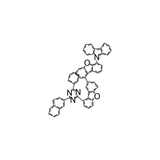 c1ccc(-c2nc(-c3ccc4ccccc4c3)nc(-c3cccc4oc5ccc(-c6cccc7oc8c(-n9c%10ccccc%10c%10ccccc%109)cccc8c67)cc5c34)n2)cc1